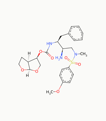 COc1ccc(S(=O)(=O)N(C)C[C@@H](N)[C@H](Cc2ccccc2)NC(=O)O[C@H]2CO[C@H]3OCC[C@H]32)cc1